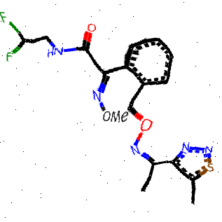 CO/N=C(/C(=O)NCC(F)F)c1ccccc1CO/N=C(/C)c1nnsc1C